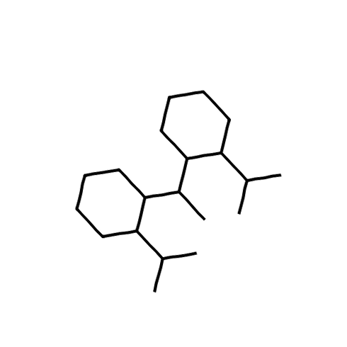 CC(C)C1CCCCC1C(C)C1CCCCC1C(C)C